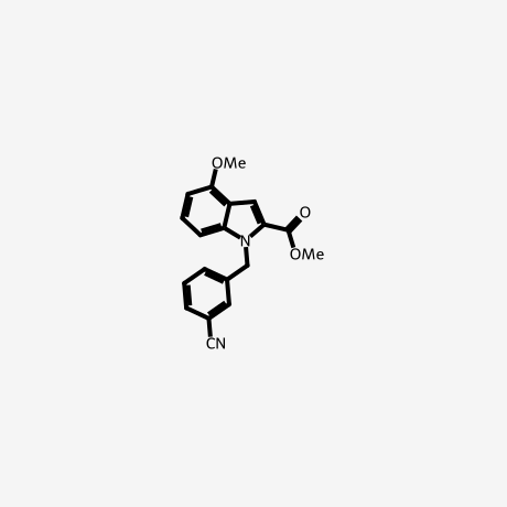 COC(=O)c1cc2c(OC)cccc2n1Cc1cccc(C#N)c1